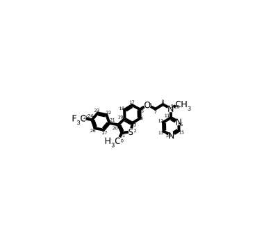 Cc1sc2cc(OCCN(C)c3ccncn3)ccc2c1-c1ccc(C(F)(F)F)cc1